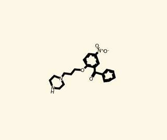 O=C(c1ccccc1)c1cc([N+](=O)[O-])ccc1OCCCN1CCNCC1